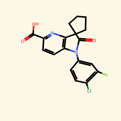 O=C(O)c1ccc2c(n1)C1(CCCC1)C(=O)N2c1ccc(Cl)c(F)c1